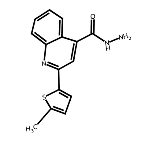 Cc1ccc(-c2cc(C(=O)NN)c3ccccc3n2)s1